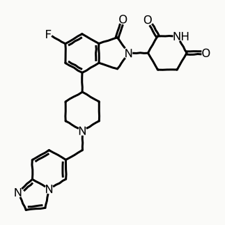 O=C1CCC(N2Cc3c(cc(F)cc3C3CCN(Cc4ccc5nccn5c4)CC3)C2=O)C(=O)N1